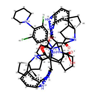 O=C(O)NC1(C2CCCC2)C(=O)N2C([C@H]3CC[C@@H](C4C[C@@H]5CCC[C@@]56c5ccc7[nH]c(nc7c5)C(NC(=O)O)(C5CCCC5)C(=O)N46)N3c3cc(F)c(N4CCCCC4)c(F)c3)CC3CCC[C@@]32c2ccc3[nH]c1nc3c2